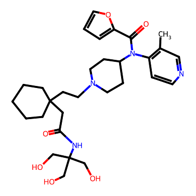 Cc1cnccc1N(C(=O)c1ccco1)C1CCN(CCC2(CC(=O)NC(CO)(CO)CO)CCCCC2)CC1